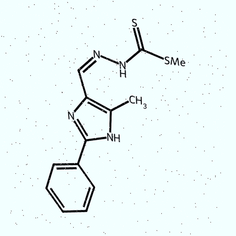 CSC(=S)N/N=C\c1nc(-c2ccccc2)[nH]c1C